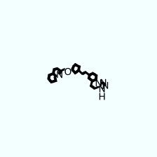 C(=C/c1nnn[nH]1)/c1cccc(/C=C/c2cccc(OCc3ccc4ccccc4n3)c2)c1